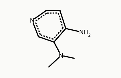 CN(C)c1cnccc1N